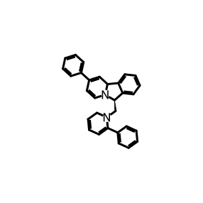 C1=CCN(C[C@@H]2c3ccccc3C3C=C(c4ccccc4)C=CN32)C(c2ccccc2)=C1